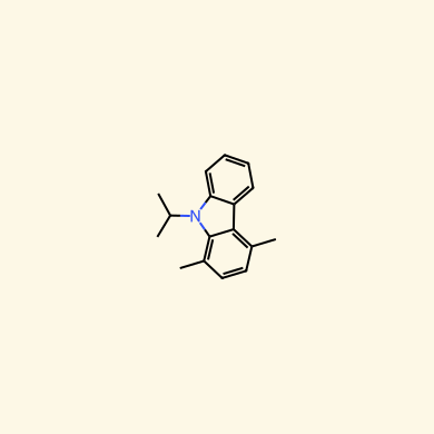 Cc1ccc(C)c2c1c1ccccc1n2C(C)C